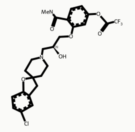 CNC(=O)c1ccc(OC(=O)C(F)(F)F)cc1OC[C@@H](O)CN1CCC2(CC1)Cc1cc(Cl)ccc1O2